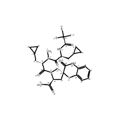 CN(C(=O)[C@H](CC1CC1)NC(=O)C(F)(F)F)[C@@H](CC1CC1)C(=O)N1C[C@@]2(C[C@H]1C(N)=O)Sc1ccccc1NC2=O